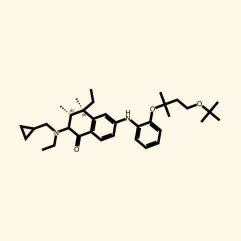 CCN(CC1CC1)C1C(=O)c2ccc(Nc3ccccc3OC(C)(C)CCOC(C)(C)C)cc2[C@](C)(CC)[C@H]1C